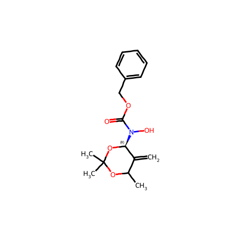 C=C1C(C)OC(C)(C)O[C@H]1N(O)C(=O)OCc1ccccc1